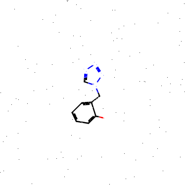 Oc1ccccc1Cn1cnnn1